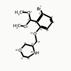 COC(OC)c1c(Br)cccc1OC[C@@H]1COCCN1